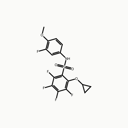 COc1ccc(NS(=O)(=O)c2c(F)c(F)c(F)c(F)c2OC2CC2)cc1F